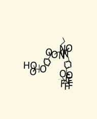 CCCn1c(COC(=O)c2ccc(OC(C)(C)C(=O)O)cc2)nn(Cc2ccc(C(=O)O[C@@H](C)C(F)(F)C(F)(F)F)cc2)c1=O